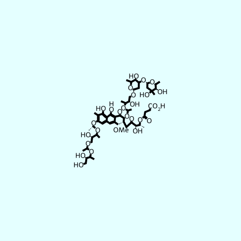 CO[C@H](C(=O)[C@@H](O)[C@@H](C)OC(=O)CCC(=O)O)[C@@H]1Cc2cc3cc(O[C@@H](C)OC(C)[C@@H](O)COC(C)OC(C)[C@@H](O)CO)c(C)c(O)c3c(O)c2C(=O)[C@H]1OC(C)OC(C)[C@@H](O)CO[C@H]1CC(O[C@H]2CC(C)(O)[C@H](O)C(C)O2)[C@@H](O)C(C)O1